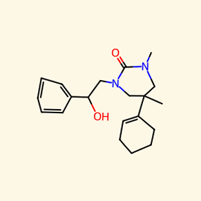 CN1CC(C)(C2=CCCCC2)CN(CC(O)c2ccccc2)C1=O